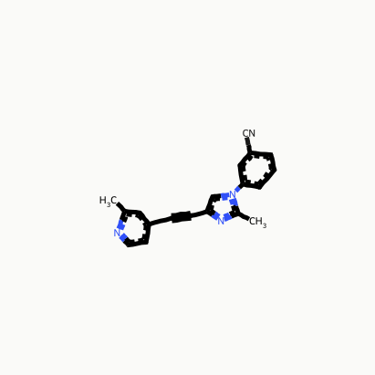 Cc1cc(C#Cc2cn(-c3cccc(C#N)c3)c(C)n2)ccn1